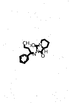 CCC/C(=N\N1C(=O)[C@@H]2CCCCN2C1=O)c1ccccc1